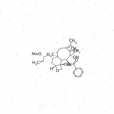 C=C[C@@H](C[C@H]1C[C@H]2OC[C@@]2(OC(C)=O)C2[C@H](OC(=O)c3ccccc3)[C@]3(O)CCC(C)=C(CC[C@@]21C)C3(C)C)OC